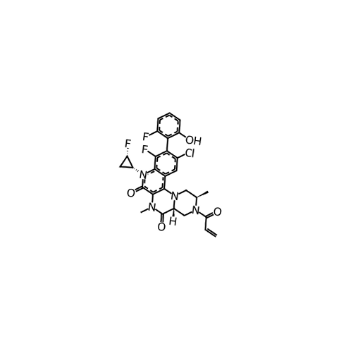 C=CC(=O)N1C[C@@H]2C(=O)N(C)c3c(c4cc(Cl)c(-c5c(O)cccc5F)c(F)c4n([C@@H]4C[C@@H]4F)c3=O)N2C[C@H]1C